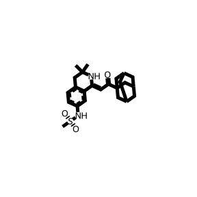 CC1(C)Cc2ccc(NS(C)(=O)=O)cc2C(=CC(=O)C23CC4CC(CC(C4)C2)C3)N1